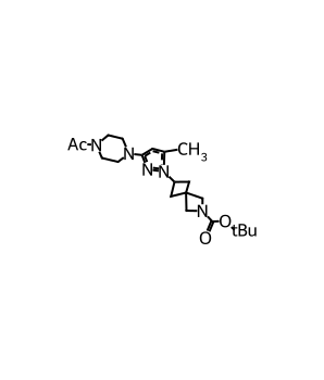 CC(=O)N1CCN(c2cc(C)n(C3CC4(C3)CN(C(=O)OC(C)(C)C)C4)n2)CC1